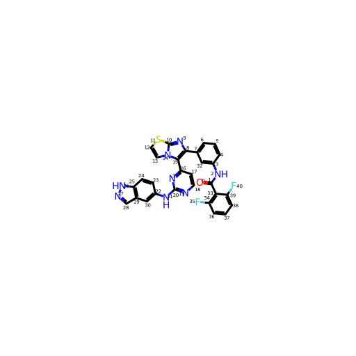 O=C(Nc1cccc(-c2nc3sccn3c2-c2ccnc(Nc3ccc4[nH]ncc4c3)n2)c1)c1c(F)cccc1F